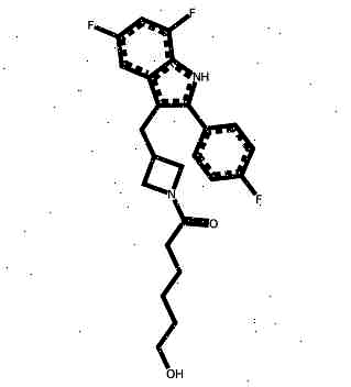 O=C(CCCCCO)N1CC(Cc2c(-c3ccc(F)cc3)[nH]c3c(F)cc(F)cc23)C1